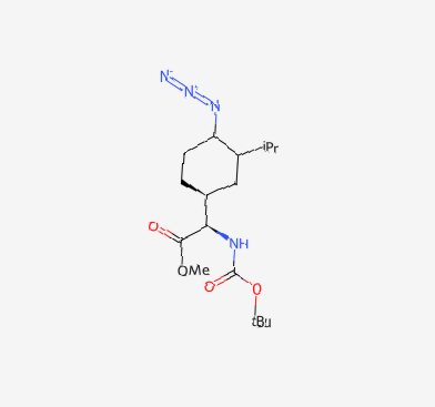 COC(=O)[C@H](NC(=O)OC(C)(C)C)[C@H]1CCC(N=[N+]=[N-])C(C(C)C)C1